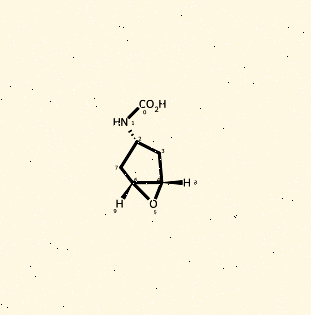 O=C(O)N[C@@H]1C[C@@H]2O[C@@H]2C1